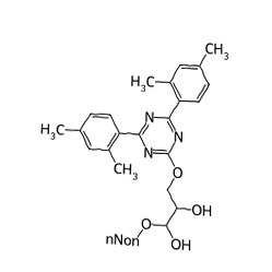 CCCCCCCCCOC(O)C(O)COc1nc(-c2ccc(C)cc2C)nc(-c2ccc(C)cc2C)n1